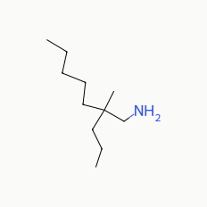 CCCCCC(C)(CN)CCC